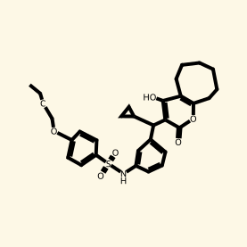 CCCCOc1ccc(S(=O)(=O)Nc2cccc(C(c3c(O)c4c(oc3=O)CCCCCC4)C3CC3)c2)cc1